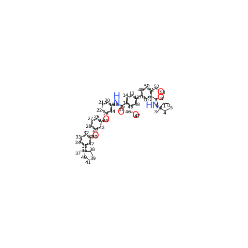 CCC(C)(CC)NC(=O)c1cc(-c2ccc(C(=O)Nc3cccc(Oc4cccc(Oc5cccc(C(C)(CC)CC)c5)c4)c3)c(C=O)c2)ccc1C=O